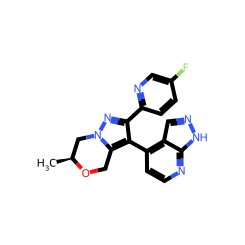 C[C@H]1Cn2nc(-c3ccc(F)cn3)c(-c3ccnc4[nH]ncc34)c2CO1